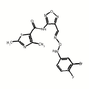 Cc1nc(C)c(C(=O)Nc2nonc2/C=N/ONc2ccc(F)c(Br)c2)s1